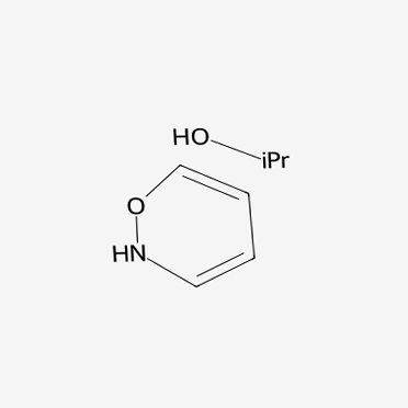 C1=CNOC=C1.CC(C)O